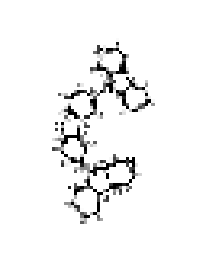 c1ccc2c(c1)c1ccncc1n2-c1ccc2oc3ccc(-n4c5ccccc5c5ccncc54)cc3c2c1